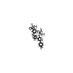 C=CC(=O)NCc1cnc(-c2ccc(F)cc2)cc1-c1ccn(Cc2ccnc(C(=O)NC)c2)n1